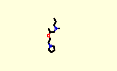 CCCN(C)CC(C)OCCN1CCCC1